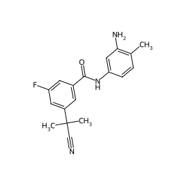 Cc1ccc(NC(=O)c2cc(F)cc(C(C)(C)C#N)c2)cc1N